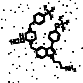 Cl.Cl.NCCCn1cc(-c2ccc(OC(F)(F)F)cc2)c2cc(CN3CCN(Cc4ccc(C(F)(F)F)cc4)CC3)ccc21